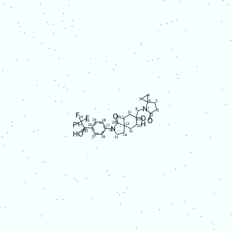 O=C1CCC2(CC2)N1CC1(O)CCC2(CCN(c3ccc([C@@H](O)C(F)(F)F)cc3)C2=O)CC1